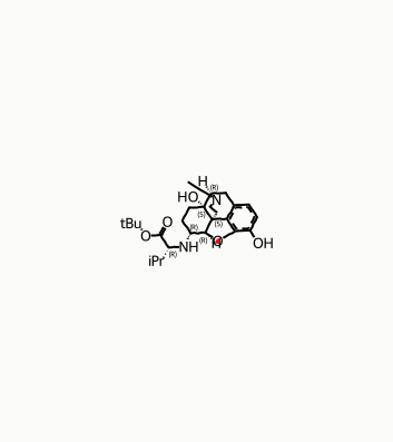 CC(C)[C@@H](N[C@@H]1CC[C@@]2(O)[C@H]3Cc4ccc(O)c5c4[C@@]2(CCN3C)[C@H]1O5)C(=O)OC(C)(C)C